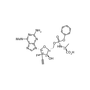 C#C[C@@]1(F)[C@H](O)[C@@H](COP(=O)(N[C@@H](C)C(=O)O)Oc2ccccc2)O[C@H]1n1cnc2c(NC)nc(N)nc21